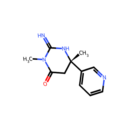 CN1C(=N)N[C@](C)(c2cccnc2)CC1=O